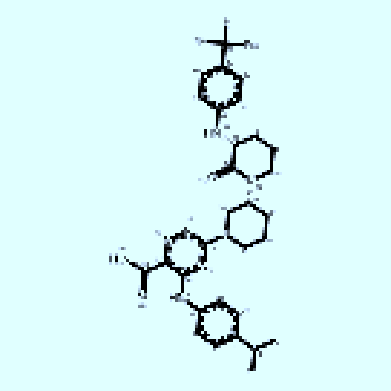 CC(C)c1ccc(Nc2nc(N3CCC[C@@H](N4CCC[C@@H](Nc5ccc(C(F)(F)F)cc5)C4=O)C3)nnc2C(N)=O)cc1